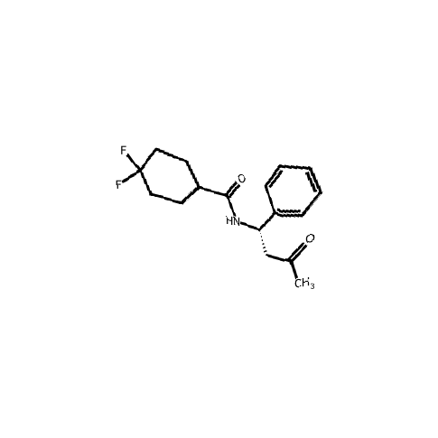 CC(=O)C[C@H](NC(=O)C1CCC(F)(F)CC1)c1ccccc1